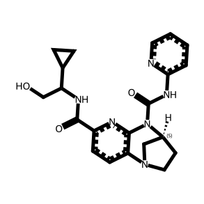 O=C(NC(CO)C1CC1)c1ccc2c(n1)N(C(=O)Nc1ccccn1)[C@H]1CCN2C1